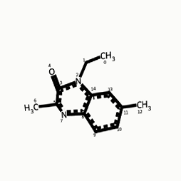 CCn1c(=O)c(C)nc2ccc(C)cc21